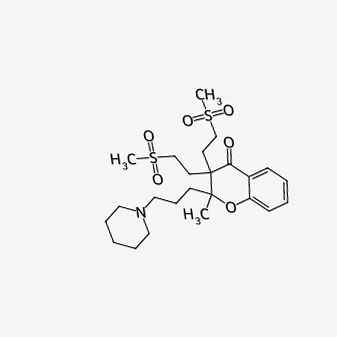 CC1(CCCN2CCCCC2)Oc2ccccc2C(=O)C1(CCS(C)(=O)=O)CCS(C)(=O)=O